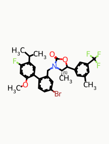 COc1cc(F)c(C(C)C)cc1-c1ccc(Br)cc1CN1C(=O)OC(c2cc(C)cc(C(F)(F)F)c2)[C@@H]1C